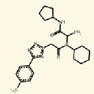 Cc1ccc(-c2nnn(CC(=O)N(C3CCCCC3)C(C)C(=O)NC3CCCC3)n2)cc1